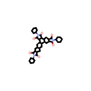 O=c1c2cc3cc4c5cc6c(=O)n(-c7ccccc7)c(=O)c6cc5c5c(=O)n(-c6ccccc6)c(=O)c5c4cc3cc2c(=O)n1-c1ccccc1